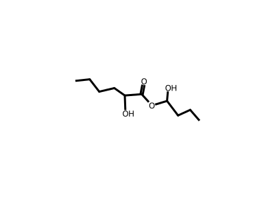 CCCCC(O)C(=O)OC(O)CCC